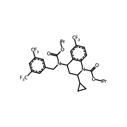 CC(C)OC(=O)N(Cc1cc(C(F)(F)F)cc(C(F)(F)F)c1)C1CC(C2CC2)N(C(=O)OC(C)C)c2ccc(C(F)(F)F)cc21